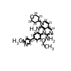 CCOc1cc(-c2cnn(C)c2)ccc1N1C(N)=NC=C2C=CN(C3CCOCC3)C(N)=C21